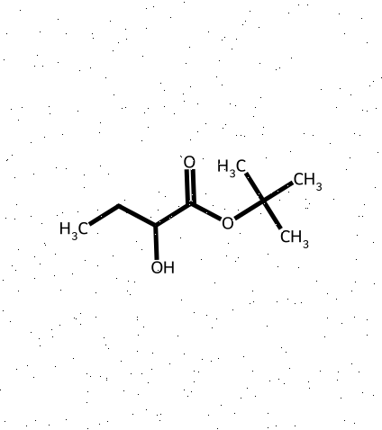 CCC(O)C(=O)OC(C)(C)C